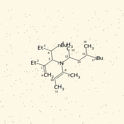 C=C(CC)C(C(CC)CCCC)N(/C(C)=C/C)C(C)CC(C)C(C)CC